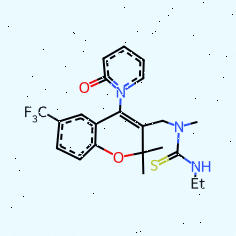 CCNC(=S)N(C)CC1=C(n2ccccc2=O)c2cc(C(F)(F)F)ccc2OC1(C)C